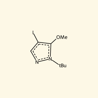 COc1c(I)cnn1C(C)(C)C